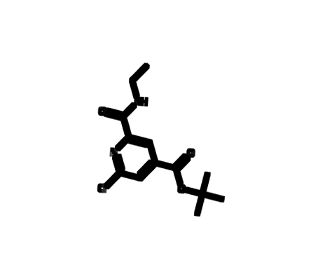 CCNC(=O)c1cc(C(=O)OC(C)(C)C)cc(Cl)n1